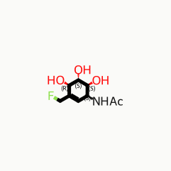 CC(=O)N[C@H]1C=C(CF)[C@@H](O)[C@H](O)[C@H]1O